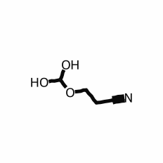 N#CCCOC(O)O